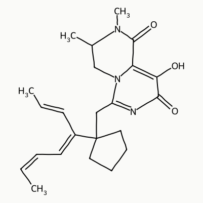 CC=C/C(=C\C=C/C)C1(Cc2nc(=O)c(O)c3n2CC(C)N(C)C3=O)CCCC1